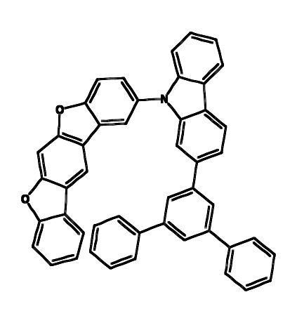 c1ccc(-c2cc(-c3ccccc3)cc(-c3ccc4c5ccccc5n(-c5ccc6oc7cc8oc9ccccc9c8cc7c6c5)c4c3)c2)cc1